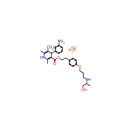 CC1=C(C(=O)O)C(c2cccc([N+](=O)[O-])c2)C(C(=O)OCCc2ccc(OCCCNC(C)CO)cc2)=C(C)N1.Cl.O